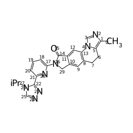 Cc1ncn2c1CCc1cc3c(cc1-2)C(=O)N(c1cccc(-c2nncn2C(C)C)n1)C3